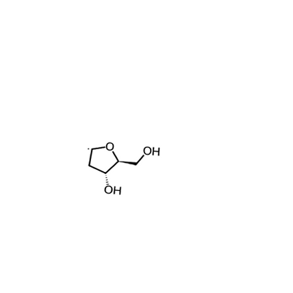 OC[C@@H]1O[CH]C[C@H]1O